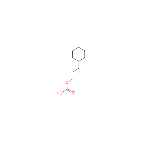 O=C(O)OCCCC1CCCCC1